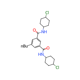 CCCCc1cc(C(=O)NC2CCC(Cl)CC2)cc(C(=O)NC2CCC(Cl)CC2)c1